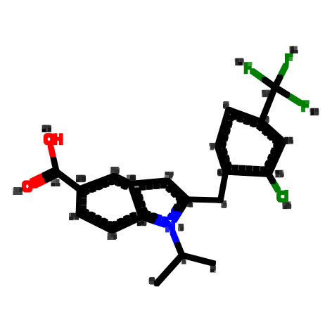 CC(C)n1c(Cc2ccc(C(F)(F)F)cc2Cl)cc2cc(C(=O)O)ccc21